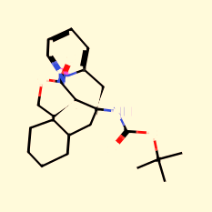 CC(C)(C)OC(=O)N[C@](Cc1ccccn1)(CC1CCCCC1)[C@H]1CCOC1=O